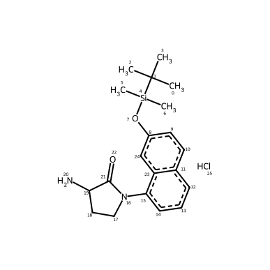 CC(C)(C)[Si](C)(C)Oc1ccc2cccc(N3CCC(N)C3=O)c2c1.Cl